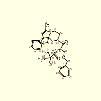 CCC1=CC(=O)C2(Cc3ccccc3)CN(C(=O)[C@@H](COCc3ccccc3)NC(=O)C(C)(C)N)CCN12